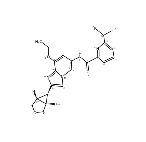 CCOc1cc(NC(=O)c2cccc(C(F)F)n2)cn2cc([C@H]3[C@@H]4COC[C@@H]43)nc12